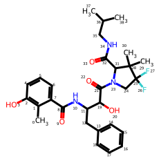 Cc1c(O)cccc1C(=O)NC(Cc1ccccc1)C(O)C(=O)N1CC(F)(F)C(C)(C)C1C(=O)NCC(C)C